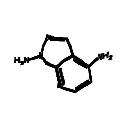 Nc1cccc2c1cnn2N